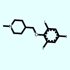 CN1CCC(COc2c(I)cc(I)cc2I)CC1